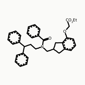 CCOC(=O)COc1cccc2c1CC(CN(CCC(c1ccccc1)c1ccccc1)C(=O)c1ccccc1)C2